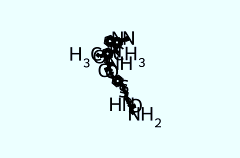 COc1ccc(N(C)c2cc(C#N)nc3ccccc23)cc1CC(=N)C(=O)OCc1ccc(SSCCCNC(=O)CN)cc1